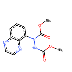 CC(C)(C)OC(=O)NN(C(=O)OC(C)(C)C)c1cccc2nccnc12